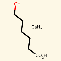 O=C(O)CCCCCO.[CaH2]